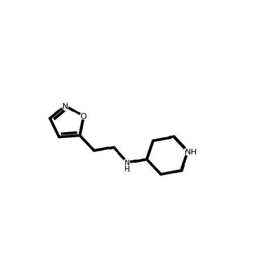 c1cc(CCNC2CCNCC2)on1